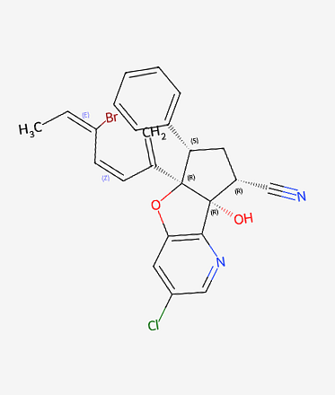 C=C(/C=C\C(Br)=C/C)[C@@]12Oc3cc(Cl)cnc3[C@]1(O)[C@@H](C#N)C[C@H]2c1ccccc1